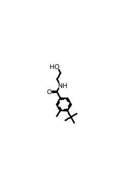 Cc1cc(C(=O)NCCO)ccc1C(C)(C)C